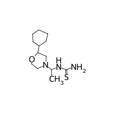 CC(NC(N)=S)N1CCOC(C2CCCCC2)C1